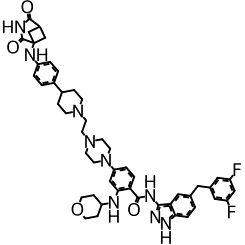 O=C(Nc1n[nH]c2ccc(Cc3cc(F)cc(F)c3)cc12)c1ccc(N2CCN(CCN3CCC(c4ccc(NC56CC(C5)C(=O)NC6=O)cc4)CC3)CC2)cc1NC1CCOCC1